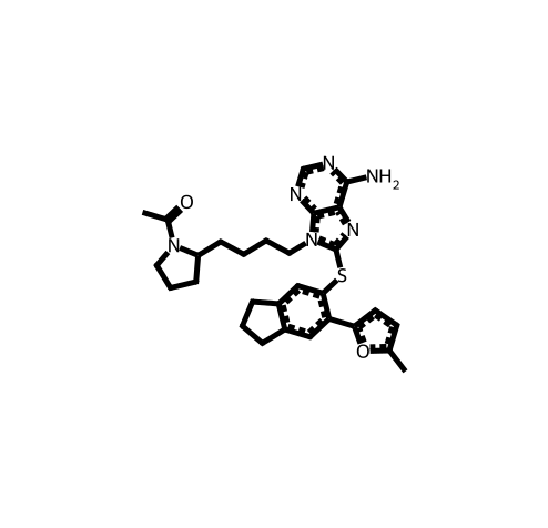 CC(=O)N1CCCC1CCCCn1c(Sc2cc3c(cc2-c2ccc(C)o2)CCC3)nc2c(N)ncnc21